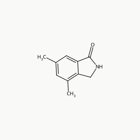 Cc1cc(C)c2c(c1)C(=O)NC2